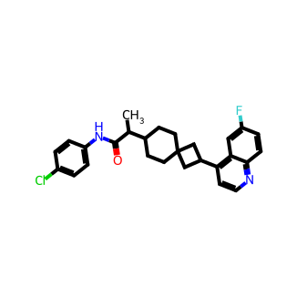 CC(C(=O)Nc1ccc(Cl)cc1)C1CCC2(CC1)CC(c1ccnc3ccc(F)cc13)C2